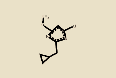 COc1cc(Cl)nc(CC2CC2)n1